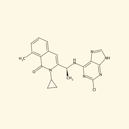 Cc1cccc2cc([C@H](C)Nc3nc(Cl)nc4[nH]cnc34)n(C3CC3)c(=O)c12